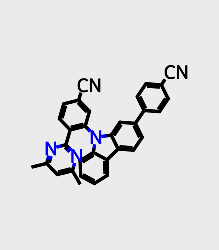 Cc1cc(C)nc(-c2ccc(C#N)cc2-n2c3ccccc3c3ccc(-c4ccc(C#N)cc4)cc32)n1